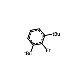 CCc1c(C(C)(C)C)c[c]cc1C(C)(C)C